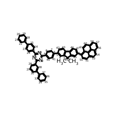 CC1(C)c2cc(-c3ccc(-c4nc(-c5ccc(-c6ccccc6)cc5)nc(-c5cccc(-c6ccccc6)c5)n4)cc3)ccc2-c2ccc(-c3ccc4ccc5cccc6ccc3c4c56)cc21